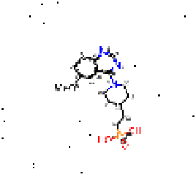 COc1ccc2ncnc(N3CCC(CCP(=O)(O)O)CC3)c2c1